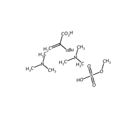 C=C(CCCC)C(=O)O.CN(C)C.CN(C)C.COS(=O)(=O)O